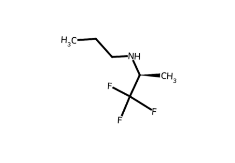 CCCN[C@@H](C)C(F)(F)F